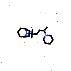 CC(CCC(C)(C)N1C2CCCC1CC2)N1CCCCC1